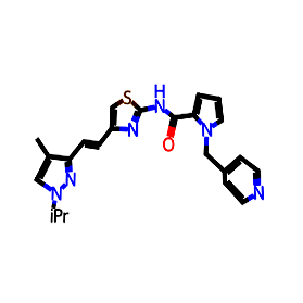 Cc1cn(C(C)C)nc1C=Cc1csc(NC(=O)c2cccn2Cc2ccncc2)n1